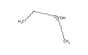 CCCCCCCC/C=C\CCCCCCCCCCCCOCC(CO)OCCCCCCCCCCCCCC